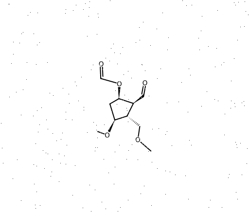 COC[C@H]1[C@H](C=O)[C@H](OC=O)C[C@@H]1OC